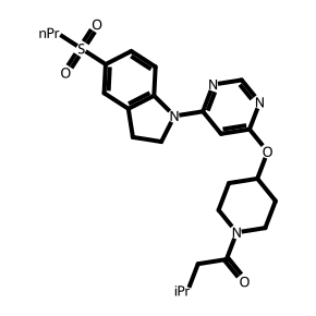 CCCS(=O)(=O)c1ccc2c(c1)CCN2c1cc(OC2CCN(C(=O)CC(C)C)CC2)ncn1